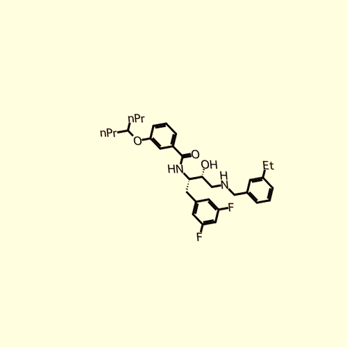 CCCC(CCC)Oc1cccc(C(=O)N[C@@H](Cc2cc(F)cc(F)c2)[C@H](O)CNCc2cccc(CC)c2)c1